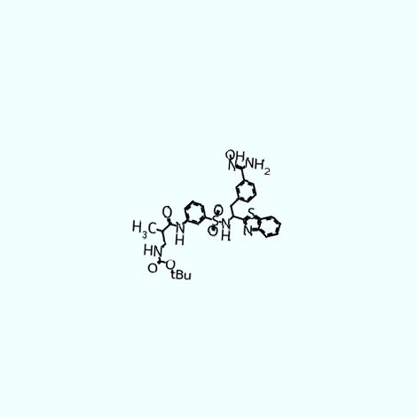 CC(CNC(=O)OC(C)(C)C)C(=O)Nc1cccc(S(=O)(=O)NC(Cc2cccc(C(N)=NO)c2)c2nc3ccccc3s2)c1